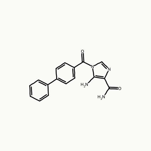 NC(=O)c1ncn(C(=O)c2ccc(-c3ccccc3)cc2)c1N